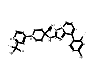 N#CC1(Nc2nc3c(-c4ccc(F)cc4Cl)cccn3n2)CCN(c2ccnc(C(F)(F)F)c2)CC1